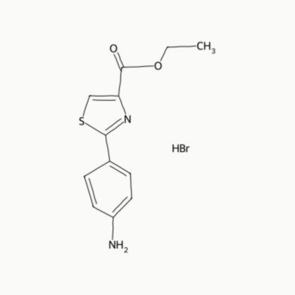 Br.CCOC(=O)c1csc(-c2ccc(N)cc2)n1